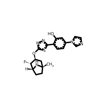 C[C@@]12CC[C@@H](N1)[C@H](F)[C@@H](Oc1nnc(-c3ccc(-n4ccnc4)cc3O)s1)C2